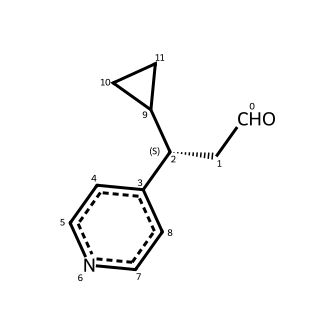 O=CC[C@H](c1ccncc1)C1CC1